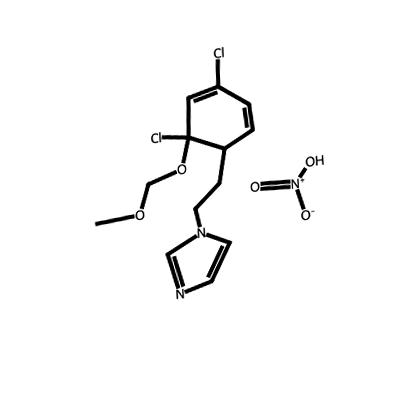 COCOC1(Cl)C=C(Cl)C=CC1CCn1ccnc1.O=[N+]([O-])O